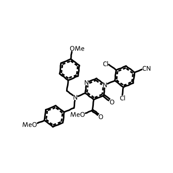 COC(=O)c1c(N(Cc2ccc(OC)cc2)Cc2ccc(OC)cc2)ncn(-c2c(Cl)cc(C#N)cc2Cl)c1=O